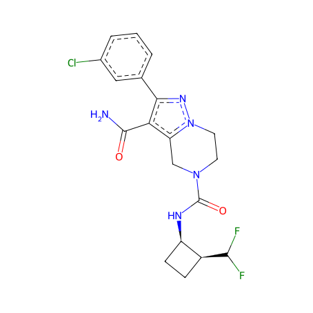 NC(=O)c1c(-c2cccc(Cl)c2)nn2c1CN(C(=O)N[C@@H]1CC[C@@H]1C(F)F)CC2